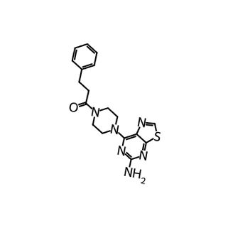 Nc1nc(N2CCN(C(=O)CCc3ccccc3)CC2)c2ncsc2n1